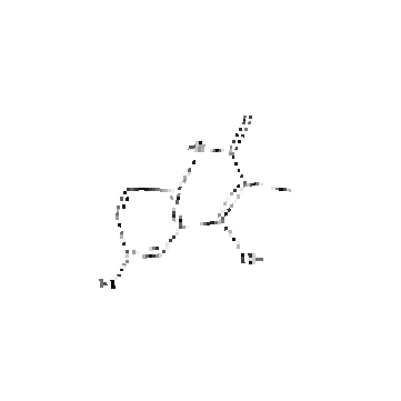 CCc1ccc2[nH]c(=O)c(C)c(O)c2c1